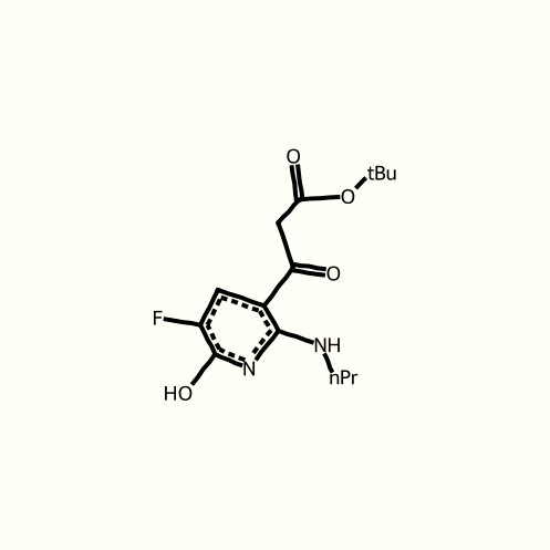 CCCNc1nc(O)c(F)cc1C(=O)CC(=O)OC(C)(C)C